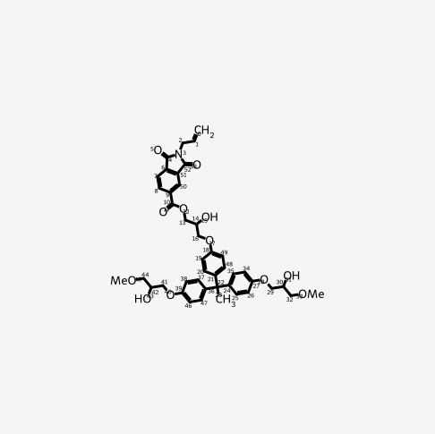 C=CCN1C(=O)c2ccc(C(=O)OCC(O)COc3ccc(C(C)(c4ccc(OCC(O)COC)cc4)c4ccc(OCC(O)COC)cc4)cc3)cc2C1=O